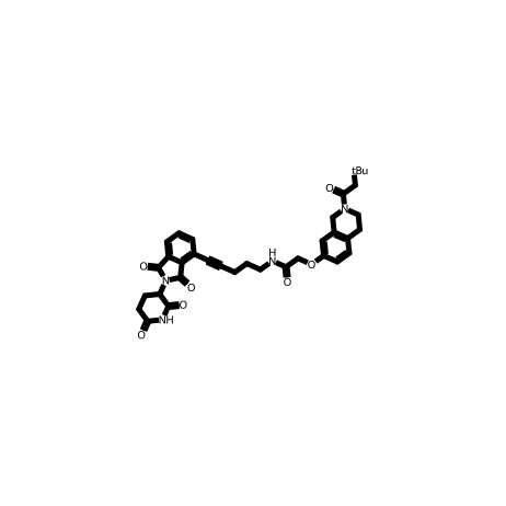 CC(C)(C)CC(=O)N1CCc2ccc(OCC(=O)NCCCC#Cc3cccc4c3C(=O)N(C3CCC(=O)NC3=O)C4=O)cc2C1